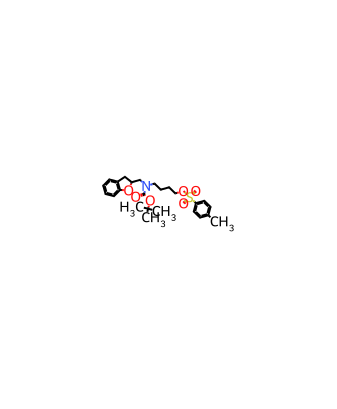 Cc1ccc(S(=O)(=O)OCCCCN(CC2Cc3ccccc3O2)C(=O)OC(C)(C)C)cc1